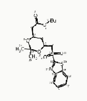 CCC(C)OC(=O)CC1CC(CS(=O)(=O)c2nc3ccccc3s2)OC(C)(C)O1